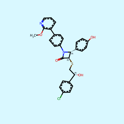 COc1ncccc1-c1ccc(N2C(=O)[C@H](SC[C@H](O)c3ccc(Cl)cc3)[C@H]2c2ccc(O)cc2)cc1